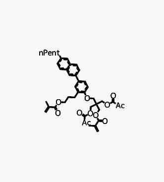 C=C(C)C(=O)OCCCc1cc(-c2ccc3cc(CCCCC)ccc3c2)ccc1OCC(COC(=O)C(=C)C)(COC(=O)C(C)=O)COC(=O)C(C)=O